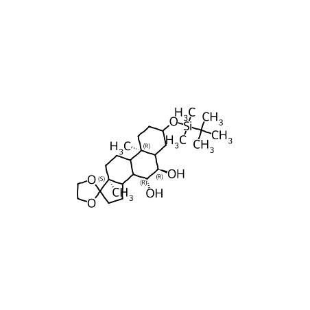 CC(C)(C)[Si](C)(C)OC1CC[C@]2(C)C3CC[C@@]4(C)C(CCC45OCCO5)C3[C@@H](O)[C@H](O)C2C1